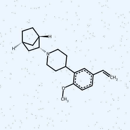 C=Cc1ccc(OC)c(C2CCN([C@@H]3C[C@H]4CC[C@H]3C4)CC2)c1